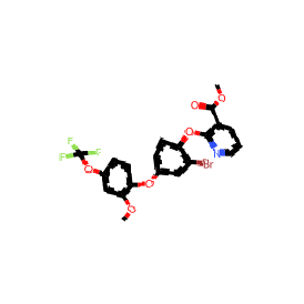 COC(=O)c1cccnc1Oc1ccc(Oc2ccc(OC(F)(F)F)cc2OC)cc1Br